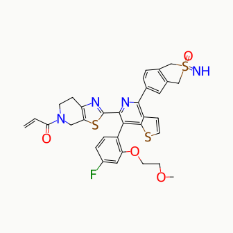 C=CC(=O)N1CCc2nc(-c3nc(-c4ccc5c(c4)CS(=N)(=O)C5)c4ccsc4c3-c3ccc(F)cc3OCCOC)sc2C1